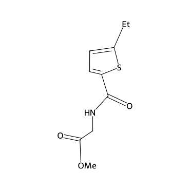 CCc1ccc(C(=O)NCC(=O)OC)s1